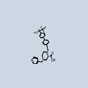 CC(O)(c1ccc(-c2ccc(CN3CCN(Cc4ccncc4)C[C@H]3C(=O)O)cc2)cc1)C(F)(F)F